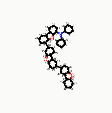 c1ccc(N(c2ccccc2)c2cccc3c2oc2c(-c4ccc5c(c4)oc4ccc(-c6ccc7oc8ccccc8c7c6)cc45)cccc23)cc1